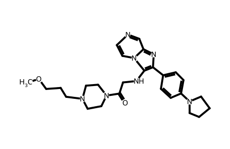 COCCCN1CCN(C(=O)CNc2c(-c3ccc(N4CCCC4)cc3)nc3cnccn23)CC1